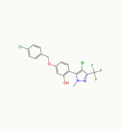 Cn1nc(C(F)(F)F)c(Br)c1-c1ccc(OCc2ccc(Cl)cc2)cc1O